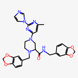 Cc1cc(N2CCN(Cc3ccc4c(c3)OCO4)C(C(=O)NCc3ccc4c(c3)OCO4)C2)nc(-n2ccnc2)n1